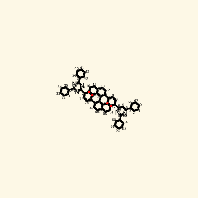 c1ccc(-c2cc(-c3ccc(-c4ccc5ccccc5c4-c4c(-c5ccc(-c6nc(-c7ccccc7)nc(-c7ccccc7)n6)cc5)ccc5ccccc45)cc3)nc(-c3ccccc3)n2)cc1